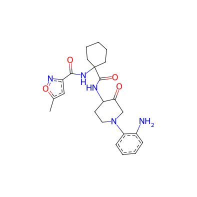 Cc1cc(C(=O)NC2(C(=O)NC3CCN(c4ccccc4N)CC3=O)CCCCC2)no1